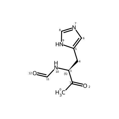 CC(=O)[C@H](Cc1cnc[nH]1)NC=O